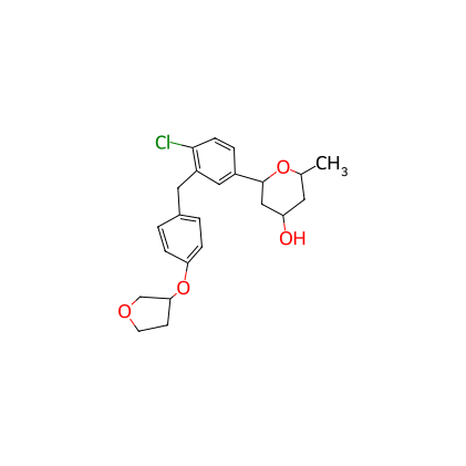 CC1CC(O)CC(c2ccc(Cl)c(Cc3ccc(OC4CCOC4)cc3)c2)O1